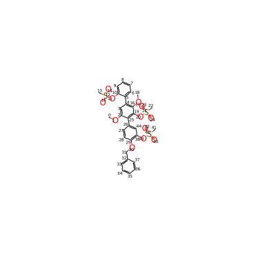 COc1cc(-c2ccccc2OS(C)(=O)=O)c(OC)c(OS(C)(=O)=O)c1-c1ccc(OCc2ccccc2)c(OS(C)(=O)=O)c1